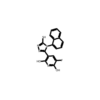 Oc1nc(O)c(-c2nnc(S)n2-c2cccc3ccccc23)cc1F